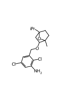 CC(C)C12CCC(C)(O1)C(OCc1cc(Cl)cc(N)c1Cl)C2